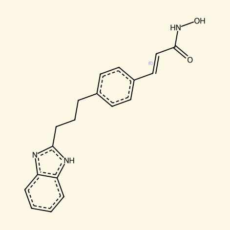 O=C(/C=C/c1ccc(CCCc2nc3ccccc3[nH]2)cc1)NO